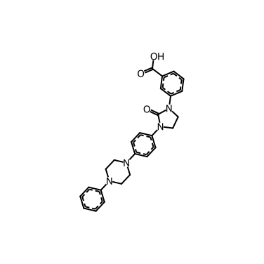 O=C(O)c1cccc(N2CCN(c3ccc(N4CCN(c5ccccc5)CC4)cc3)C2=O)c1